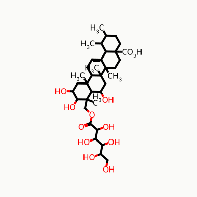 CC1CCC2(C(=O)O)CCC3(C)C(=CCC4C5(C)CC(O)C(O)C(C)(COC(=O)C(O)C(O)C(O)C(O)CO)C5C(O)CC43C)C2C1C